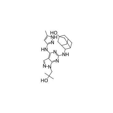 Cc1cc(Nc2nc(NC3C4CC5CC3CC(O)(C5)C4)nc3c2cnn3CC(C)(C)O)n[nH]1